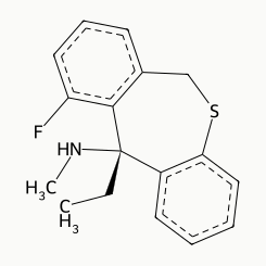 CC[C@]1(NC)c2ccccc2SCc2cccc(F)c21